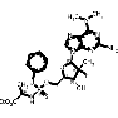 CCOC(=O)[C@@H](C)N[P@](=S)(OC[C@H]1O[C@@H](n2cnc3c(N(C)C)nc(N)nc32)[C@](C)(F)[C@@H]1O)Oc1ccccc1